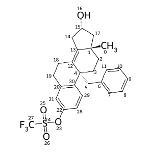 C[C@@]12CC[C@]3(Cc4ccccc4)C(=C1C[C@H](O)C2)CCc1cc(OS(=O)(=O)C(F)(F)F)ccc13